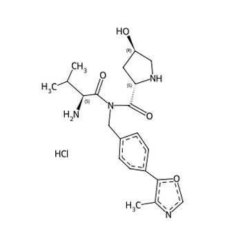 Cc1ncoc1-c1ccc(CN(C(=O)[C@@H]2C[C@@H](O)CN2)C(=O)[C@@H](N)C(C)C)cc1.Cl